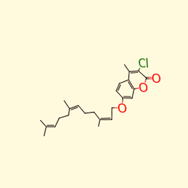 CC(C)=CCCC(C)=CCCC(C)=CCOc1ccc2c(C)c(Cl)c(=O)oc2c1